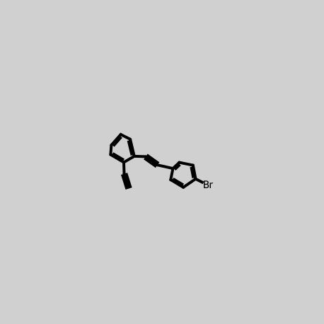 C#Cc1ccccc1C#Cc1ccc(Br)cc1